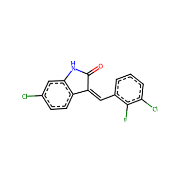 O=C1Nc2cc(Cl)ccc2C1=Cc1cccc(Cl)c1F